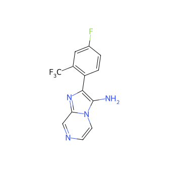 Nc1c(-c2ccc(F)cc2C(F)(F)F)nc2cnccn12